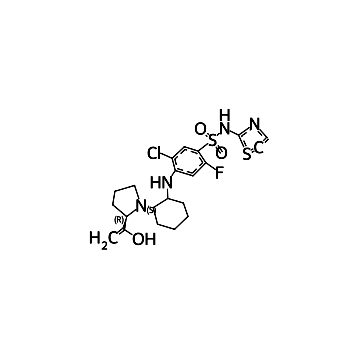 C=C(O)[C@H]1CCCN1[C@H]1CCCCC1Nc1cc(F)c(S(=O)(=O)Nc2nccs2)cc1Cl